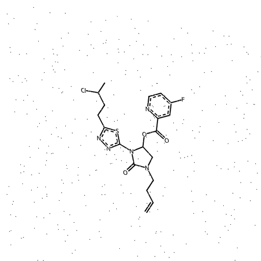 C=CCCN1CC(OC(=O)c2cc(F)ccn2)N(c2nnc(CCC(C)Cl)s2)C1=O